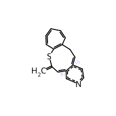 C=C1/C=c2/cncc/c2=C/CC2=C(C=C=CC=C2)S1